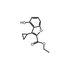 CCOC(=O)c1oc2cccc(O)c2c1C1CC1